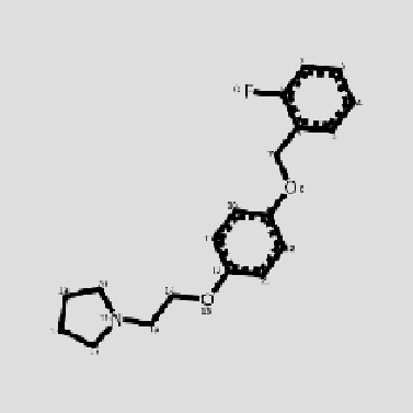 Fc1ccccc1COc1ccc(OCCN2CCCC2)cc1